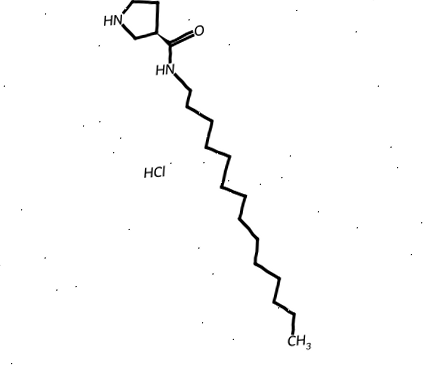 CCCCCCCCCCCCCCNC(=O)[C@@H]1CCNC1.Cl